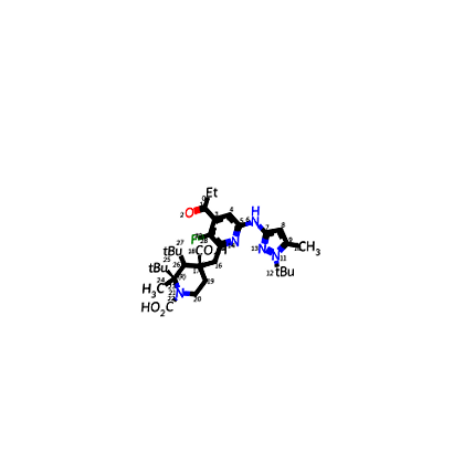 CCC(=O)c1cc(Nc2cc(C)n(C(C)(C)C)n2)nc(C[C@]2(C(=O)O)CCN(C(=O)O)[C@@](C)(C(C)(C)C)C2C(C)(C)C)c1F